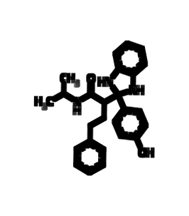 CC(C)NC(=O)C(CCc1ccccc1)C1(c2ccc(O)cc2)Nc2ccccc2N1